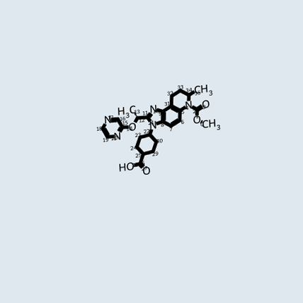 COC(=O)N1c2ccc3c(nc([C@@H](C)Oc4cnccn4)n3C3CCC(C(=O)O)CC3)c2CCC1C